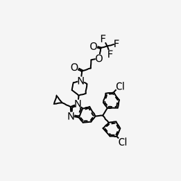 O=C(CCOC(=O)C(F)(F)F)N1CCC(n2c(C3CC3)nc3ccc(C(c4ccc(Cl)cc4)c4ccc(Cl)cc4)cc32)CC1